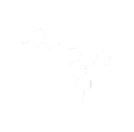 C\C=C/C(=C\C=C\C(C)(C)C)N/C(C)=C/C=C\C(=C/C)N(c1ccc(C(C)(C)C)cc1)c1c(C)cc(C(C)(C)C)cc1C